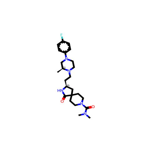 C[C@H]1CN(c2ccc(F)cc2)CCN1CC[C@H]1CC2(CCN(C(=O)N(C)C)CC2)C(=O)N1